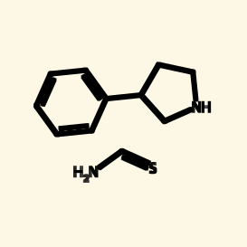 NC=S.c1ccc(C2CCNC2)cc1